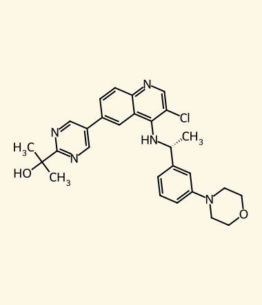 C[C@@H](Nc1c(Cl)cnc2ccc(-c3cnc(C(C)(C)O)nc3)cc12)c1cccc(N2CCOCC2)c1